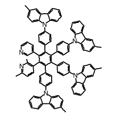 Cc1ccc2c(c1)c1ccccc1n2-c1ccc(-c2c(-c3ccc(-n4c5ccccc5c5cc(C)ccc54)cc3)c(-c3ccc(-n4c5ccccc5c5cc(C)ccc54)cc3)c(-c3ccc(C)nc3C)c(-c3cccnc3)c2-c2ccc(-n3c4ccccc4c4cc(C)ccc43)cc2)cc1